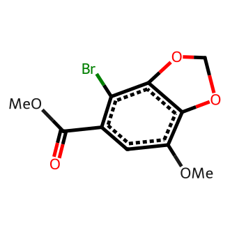 COC(=O)c1cc(OC)c2c(c1Br)OCO2